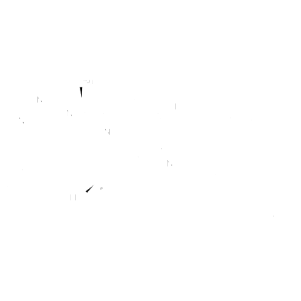 Cc1ccc(C(NC(=O)[C@@H]2C[C@@H](O)CN2C(=O)[C@@H](n2cc(C3CC3)nn2)C(C)(C)C)C(O)C2CC2)cc1F